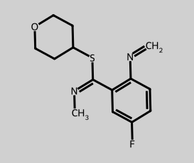 C=Nc1ccc(F)cc1/C(=N\C)SC1CCOCC1